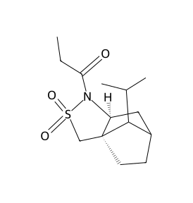 CCC(=O)N1[C@H]2CC3CC[C@@]2(CS1(=O)=O)C3C(C)C